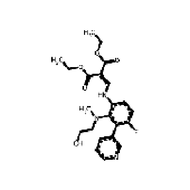 CCOC(=O)C(=CNc1ccc(F)c(-c2cccnc2)c1N(C)CCO)C(=O)OCC